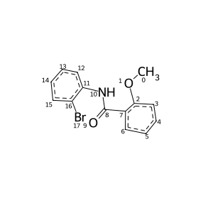 COc1ccccc1C(=O)Nc1ccccc1Br